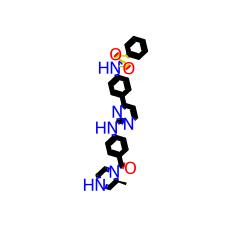 C[C@H]1CNCCN1C(=O)c1ccc(Nc2nccc(-c3ccc(NS(=O)(=O)c4ccccc4)cc3)n2)cc1